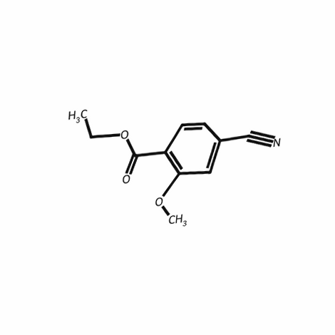 CCOC(=O)c1ccc(C#N)cc1OC